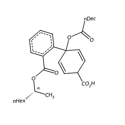 CCCCCCCCCCC(=O)OC1(c2ccccc2C(=O)O[C@H](C)CCCCCC)C=CC(C(=O)O)C=C1